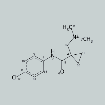 CN(C)CC1(C(=O)Nc2ccc(Cl)cc2)CC1